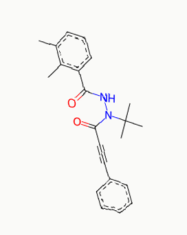 Cc1cccc(C(=O)NN(C(=O)C#Cc2ccccc2)C(C)(C)C)c1C